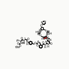 CC(C)[C@H](NC(=O)OC(C)(C)C)C(=O)N[C@@H](C)C(=O)Nc1ccc(COC(=O)N(C)Cc2ccccc2C(=O)Nc2nc3c(ncn3[C@@H]3O[C@@H]4CO[P@@](=O)(S)O[C@H]5C[C@H](Oc6ccncn6)CC5CO[P@@](=O)(S)O[C@@H]3[C@@H]4O)c(=O)[nH]2)cc1